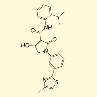 Cc1csc(-c2cccc(N3CC(O)=C(C(=O)Nc4ccccc4C(C)C)C3=O)c2)n1